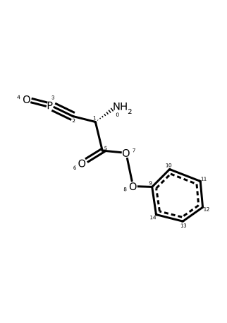 N[C@@H](C#P=O)C(=O)OOc1ccccc1